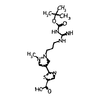 C[n+]1cc(-c2ncc(C(=O)O)s2)cn1CCCNC(=N)NC(=O)OC(C)(C)C